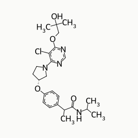 CC(C)NC(=O)C(C)c1ccc(O[C@@H]2CCN(c3ncnc(OCC(C)(C)O)c3Cl)C2)cc1